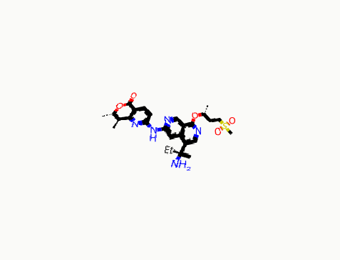 CC[C@@](C)(N)c1cnc(O[C@H](C)CCS(C)(=O)=O)c2cnc(Nc3ccc4c(n3)[C@@H](C)[C@H](C)OC4=O)cc12